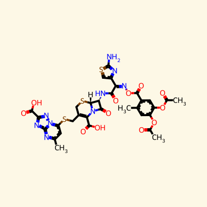 CC(=O)Oc1cc(C)c(C(=O)O/N=C(\C(=O)N[C@@H]2C(=O)N3C(C(=O)O)=C(CSc4cc(C)nc5nc(C(=O)O)nn45)CS[C@H]23)c2csc(N)n2)cc1OC(C)=O